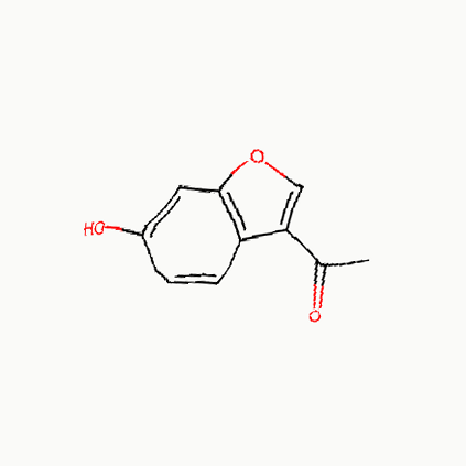 CC(=O)c1coc2cc(O)ccc12